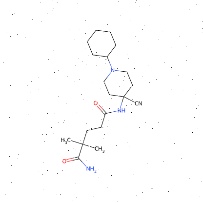 CC(C)(C[CH]C(=O)NC1(C#N)CCN(C2CCCCC2)CC1)C(N)=O